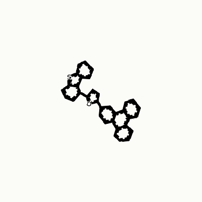 c1ccc2c(c1)sc1cccc(-c3ccc(-c4ccc5c6ccccc6c6ccccc6c5c4)o3)c12